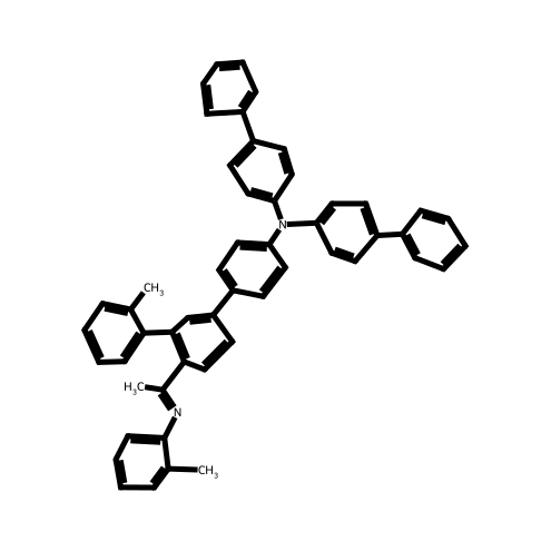 C/C(=N\c1ccccc1C)c1ccc(-c2ccc(N(c3ccc(-c4ccccc4)cc3)c3ccc(-c4ccccc4)cc3)cc2)cc1-c1ccccc1C